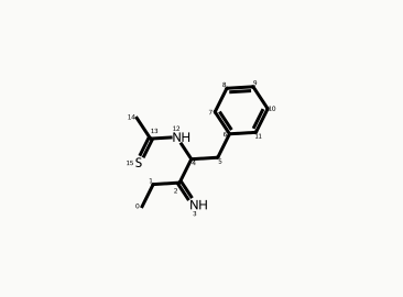 CCC(=N)C(Cc1ccccc1)NC(C)=S